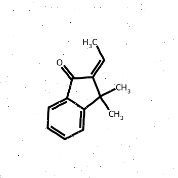 CC=C1C(=O)c2ccccc2C1(C)C